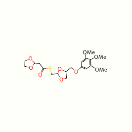 COc1cc(OCC2COC(CSC(=O)CC3OCCO3)O2)cc(OC)c1OC